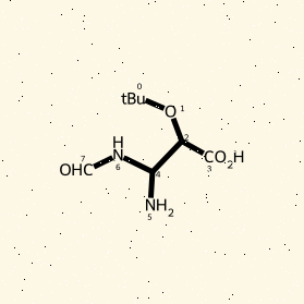 CC(C)(C)OC(C(=O)O)C(N)NC=O